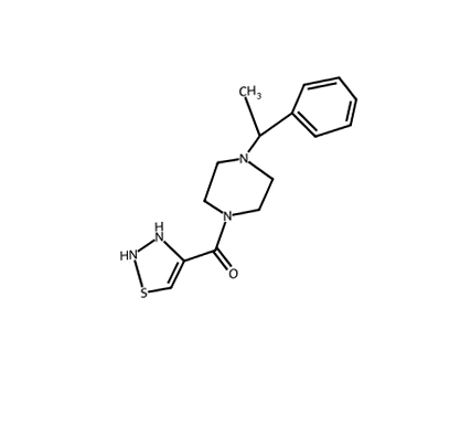 CC(c1ccccc1)N1CCN(C(=O)C2=CSNN2)CC1